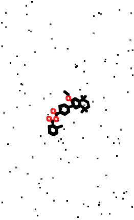 CCOc1cc2c(cc1-c1ccc(C(=O)OC(=O)c3ccccc3C)cc1)C(C)(C)CCC2(C)C